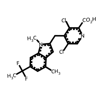 Cc1cc(C(C)(F)F)cc2c1cc(Cc1c(Cl)cnc(C(=O)O)c1Cl)n2C